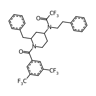 O=C(c1cc(C(F)(F)F)cc(C(F)(F)F)c1)N1CCC(N(CCc2ccccc2)C(=O)C(F)(F)F)CC1Cc1ccccc1